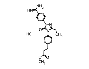 CCc1nn(-c2ccc(C(=N)N)cc2)c(=O)n1-c1ccc(CCC(=O)OC)cc1.Cl